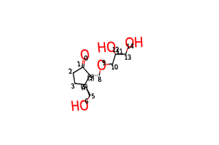 O=C1CC[C@H](CO)[C@H]1COCC(O)CO